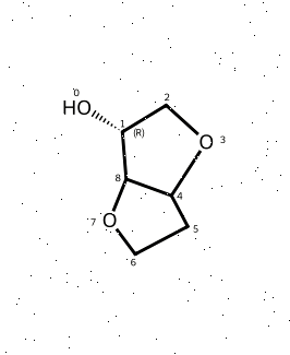 O[C@@H]1COC2CCOC21